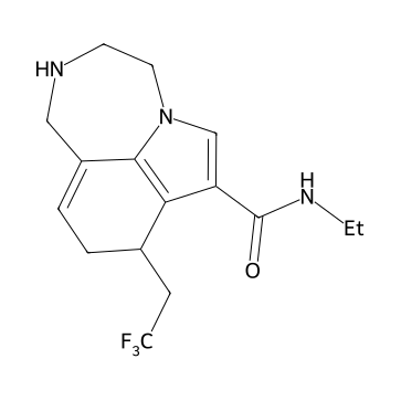 CCNC(=O)c1cn2c3c1C(CC(F)(F)F)CC=C3CNCC2